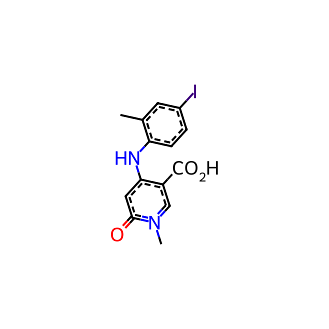 Cc1cc(I)ccc1Nc1cc(=O)n(C)cc1C(=O)O